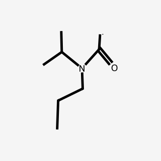 [CH2]C(=O)N(CCC)C(C)C